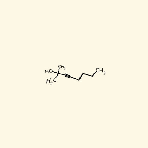 CCCCC#CC(C)(C)O